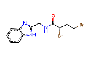 O=C(NCc1nc2ccccc2[nH]1)C(Br)CCBr